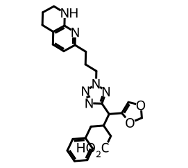 O=C(O)CC(Cc1ccccc1)C(C1=COCO1)c1nnn(CCCc2ccc3c(n2)NCCC3)n1